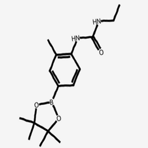 CCNC(=O)Nc1ccc(B2OC(C)(C)C(C)(C)O2)cc1C